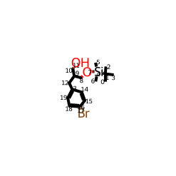 CC(C)(C)[Si](C)(C)OCC(CO)Cc1ccc(Br)cc1